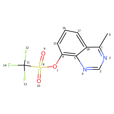 Cc1ncnc2c(OS(=O)(=O)C(F)(F)F)cccc12